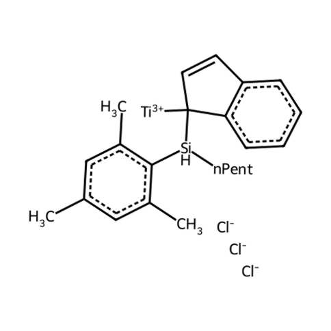 CCCCC[SiH](c1c(C)cc(C)cc1C)[C]1([Ti+3])C=Cc2ccccc21.[Cl-].[Cl-].[Cl-]